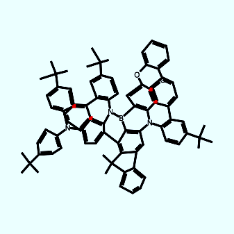 CC(C)(C)c1ccc(N(c2ccc(C(C)(C)C)cc2)c2ccc3c(c2)N(c2ccc(C(C)(C)C)cc2-c2ccccc2)B2c4cc5c(cc4N(c4ccc(C(C)(C)C)cc4-c4ccccc4)c4cc6c(c-3c42)C(C)(C)c2ccccc2-6)Oc2ccccc2O5)cc1